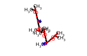 CCCCCC(CCCCC)CCOC(=O)CCCCCCCCC(CCCCCCCCC(=O)OCCC(CCCCC)CC(CCC)C(CC)CCC(CCCCC)CC(=O)OCCCCCCCCCC(CCCCCCCCCOC(=O)CC(CCCCC)CCCCC)CN1CCCC1)CN1CCN(C)CC1